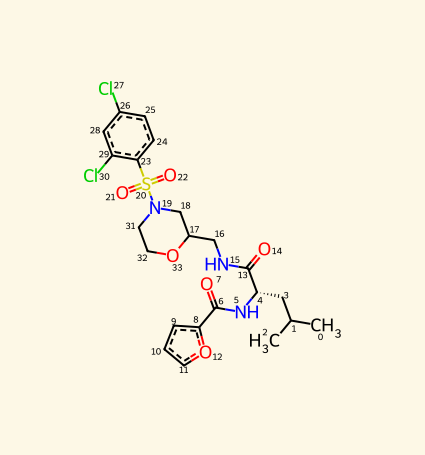 CC(C)C[C@H](NC(=O)c1ccco1)C(=O)NCC1CN(S(=O)(=O)c2ccc(Cl)cc2Cl)CCO1